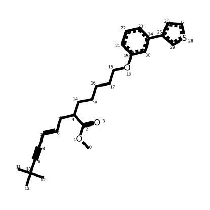 COC(=O)C(C/C=C/C#CC(C)(C)C)CCCCCOc1cccc(-c2ccsc2)c1